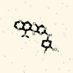 CP(C)c1c(Nc2nc(Nc3ccc(F)c([N+](=O)[O-])c3)ncc2Cl)ccc2nccnc12